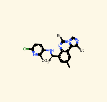 CCc1ncn2c(CC)nc3c([C@@H](C)Nc4ccc(Cl)nc4C(=O)O)cc(C)cc3c12